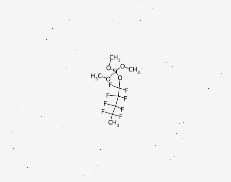 CO[Si](OC)(OC)OC(F)(F)C(F)(F)C(F)(F)C(C)(F)F